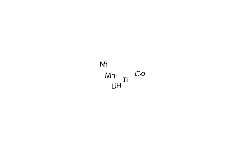 [Co].[LiH].[Mn].[Ni].[Ti]